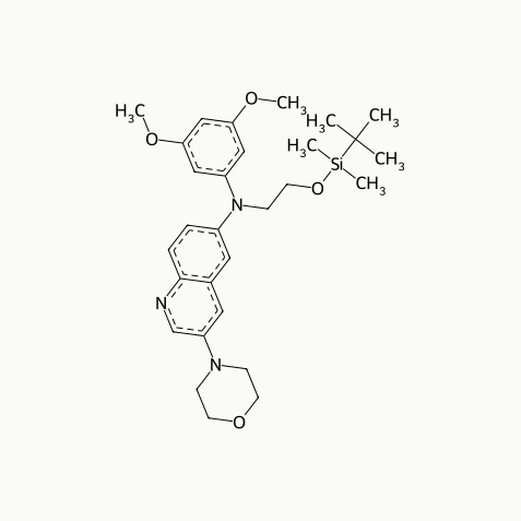 COc1cc(OC)cc(N(CCO[Si](C)(C)C(C)(C)C)c2ccc3ncc(N4CCOCC4)cc3c2)c1